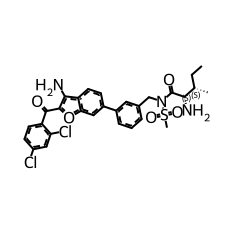 CC[C@H](C)[C@H](N)C(=O)N(Cc1cccc(-c2ccc3c(N)c(C(=O)c4ccc(Cl)cc4Cl)oc3c2)c1)S(C)(=O)=O